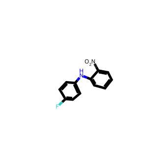 O=[N+]([O-])c1ccccc1Nc1ccc(F)cc1